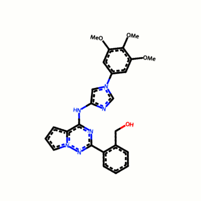 COc1cc(-n2cnc(Nc3nc(-c4ccccc4CO)nn4cccc34)c2)cc(OC)c1OC